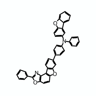 c1ccc(-c2nc3c(ccc4oc5cc(-c6ccc(N(c7ccccc7)c7ccc8oc9ccccc9c8c7)cc6)ccc5c43)o2)cc1